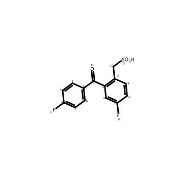 O=C(c1ccc(F)cc1)c1cc(F)ccc1CS(=O)(=O)O